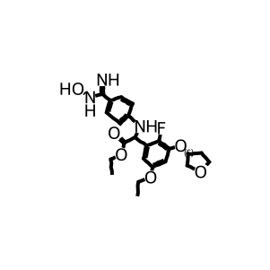 CCOC(=O)C(Nc1ccc(C(=N)NO)cc1)c1cc(OCC)cc(O[C@H]2CCOC2)c1F